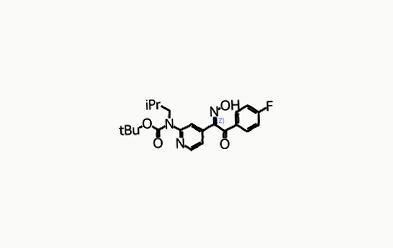 CC(C)CN(C(=O)OC(C)(C)C)c1cc(/C(=N/O)C(=O)c2ccc(F)cc2)ccn1